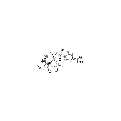 CO[C@H]1C(=O)N2C(C(=O)C(C)(C)C)=C(COC(=O)c3ccc(C(=O)O)cc3)CS[C@@H]12